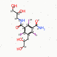 NC(=O)c1c(I)c(CC(O)CO)c(I)c(C(=O)NCC(O)CO)c1I